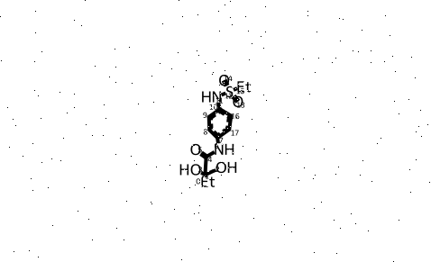 CCC(O)(O)C(=O)Nc1ccc(NS(=O)(=O)CC)cc1